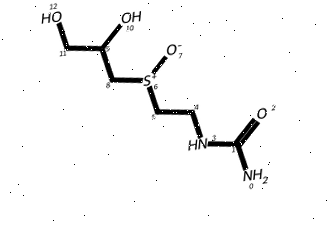 NC(=O)NCC[S+]([O-])CC(O)CO